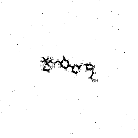 Cc1cc(-c2ccnc(Nc3cnn(CCO)c3)n2)ccc1CNC(=O)C1(C(C)(C)C)NC=CS1